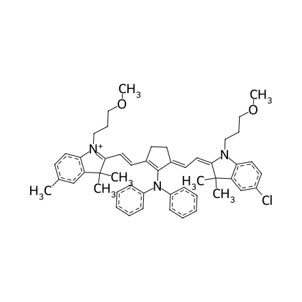 COCCCN1/C(=C/C=C2\CCC(/C=C/C3=[N+](CCCOC)c4ccc(C)cc4C3(C)C)=C2N(c2ccccc2)c2ccccc2)C(C)(C)c2cc(Cl)ccc21